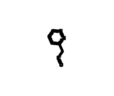 O=[S+]Cc1cc[c]nn1